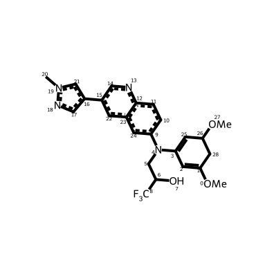 COC1=CC(N(CC(O)C(F)(F)F)c2ccc3ncc(-c4cnn(C)c4)cc3c2)=CC(OC)C1